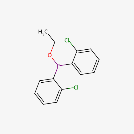 CCOP(c1ccccc1Cl)c1ccccc1Cl